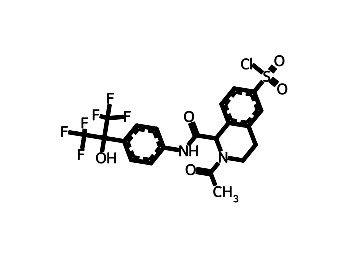 CC(=O)N1CCc2cc(S(=O)(=O)Cl)ccc2C1C(=O)Nc1ccc(C(O)(C(F)(F)F)C(F)(F)F)cc1